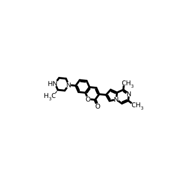 Cc1cn2cc(-c3cc4ccc(N5CCN[C@@H](C)C5)cc4oc3=O)cc2c(C)n1